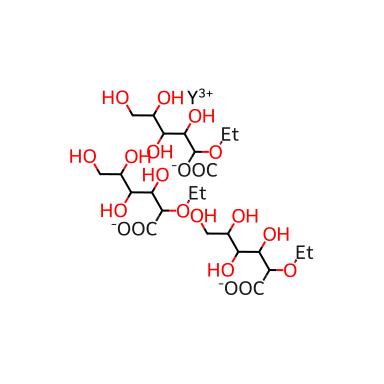 CCOC(C(=O)[O-])C(O)C(O)C(O)CO.CCOC(C(=O)[O-])C(O)C(O)C(O)CO.CCOC(C(=O)[O-])C(O)C(O)C(O)CO.[Y+3]